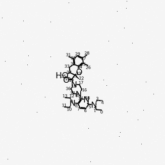 CCN(CC)c1ccc(N(CC)CC)c(N2CCN(C(=O)C3(C)Oc4c(C)c(C)cc(C)c4CC3O)CC2)n1